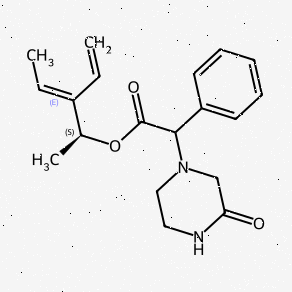 C=C/C(=C\C)[C@H](C)OC(=O)C(c1ccccc1)N1CCNC(=O)C1